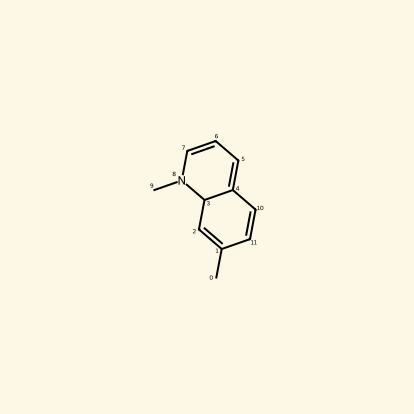 CC1=CC2C(=CC=CN2C)C=C1